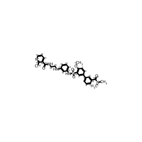 COc1ccc(-c2cccc(C(=O)N(C)C)c2)cc1S(=O)(=O)Nc1cccc(NCCNC(=O)c2cccnc2Cl)c1